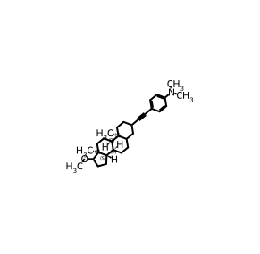 COC1CC[C@H]2[C@@H]3CCC4CC(C#Cc5ccc(N(C)C)cc5)CC[C@]4(C)[C@@H]3CC[C@]12C